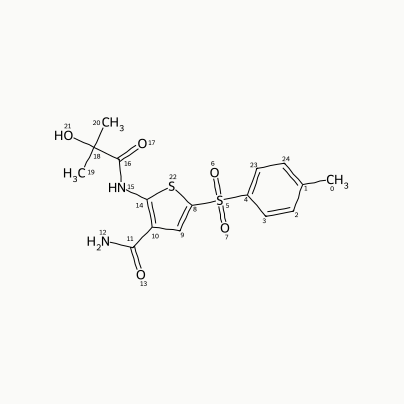 Cc1ccc(S(=O)(=O)c2cc(C(N)=O)c(NC(=O)C(C)(C)O)s2)cc1